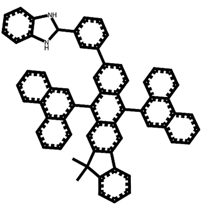 CC1(C)c2ccccc2-c2cc3c(-c4cc5ccccc5c5ccccc45)c4ccc(-c5cccc(C6Nc7ccccc7N6)c5)cc4c(-c4cc5ccccc5c5ccccc45)c3cc21